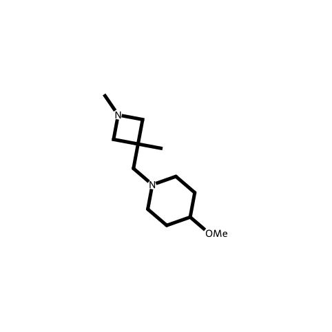 COC1CCN(CC2(C)CN(C)C2)CC1